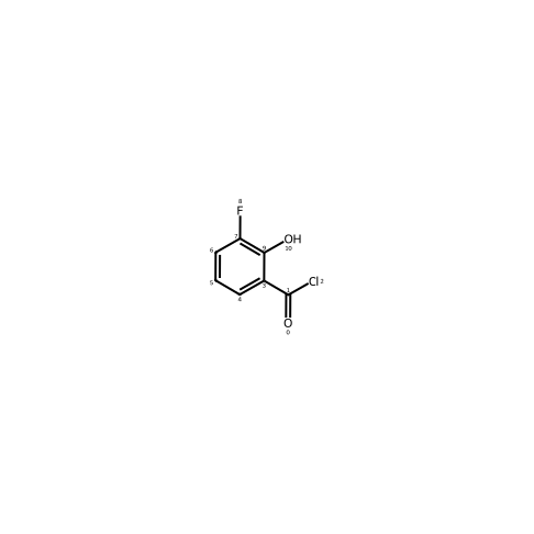 O=C(Cl)c1cccc(F)c1O